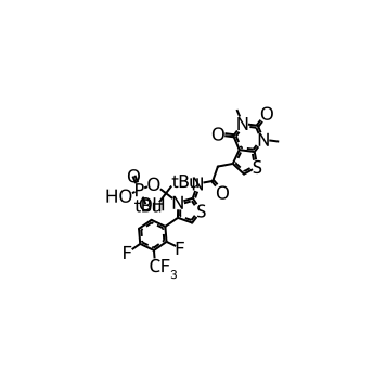 Cn1c(=O)c2c(CC(=O)N=c3scc(-c4ccc(F)c(C(F)(F)F)c4F)n3C(OP(=O)(O)O)(C(C)(C)C)C(C)(C)C)csc2n(C)c1=O